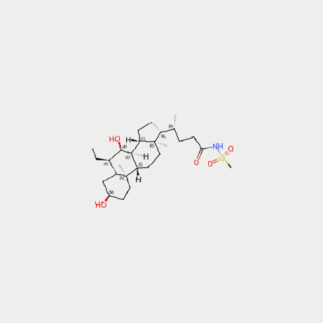 CC[C@@H]1C2C[C@H](O)CC[C@]2(C)[C@H]2CC[C@]3(C)[C@@H]([C@H](C)CCC(=O)NS(C)(=O)=O)CC[C@H]3[C@@H]2[C@@H]1O